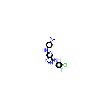 CN(C)C1CCC(Nc2cc3ncnc(Nc4ccc(F)c(Cl)c4)c3cn2)CC1